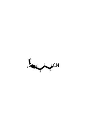 CS#CCCCC#N